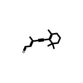 CC(C#CC1=C(C)CCCC1(C)C)=CC=O